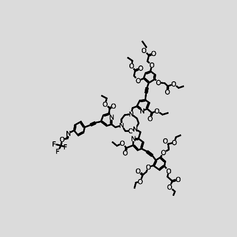 CCOC(=O)COc1cc(OCC(=O)OCC)c(C#Cc2cc(CN3CCN(Cc4cc(C#Cc5ccc(N=COC(F)(F)F)cc5)cc(C(=O)OCC)n4)CCN(Cc4cc(C#Cc5c(OCC(=O)OCC)cc(OCC(=O)OCC)cc5OCC(=O)OCC)cc(C(=O)OCC)n4)CC3)nc(C(=O)OCC)c2)c(OCC(=O)OCC)c1